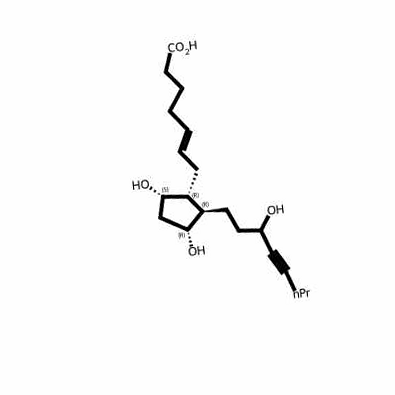 CCCC#CC(O)CC[C@@H]1[C@@H](CC=CCCCC(=O)O)[C@@H](O)C[C@H]1O